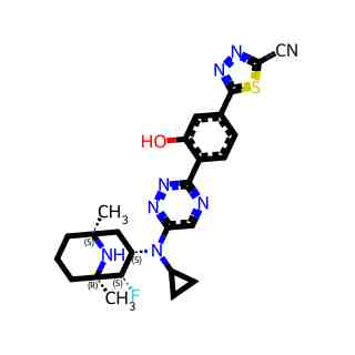 C[C@@]12CCC[C@@](C)(N1)[C@@H](F)[C@@H](N(c1cnc(-c3ccc(-c4nnc(C#N)s4)cc3O)nn1)C1CC1)C2